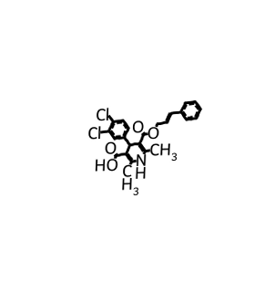 CC1=C(C(=O)O)C(c2ccc(Cl)c(Cl)c2)C(C(=O)OCC=Cc2ccccc2)=C(C)N1